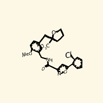 COc1ccc(CC2(C(=O)O)CCCO2)cc1CNC(=O)c1cc(-c2ccccc2Cl)on1